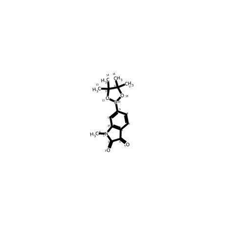 CN1C(=O)C(=O)c2ccc(B3OC(C)(C)C(C)(C)O3)cc21